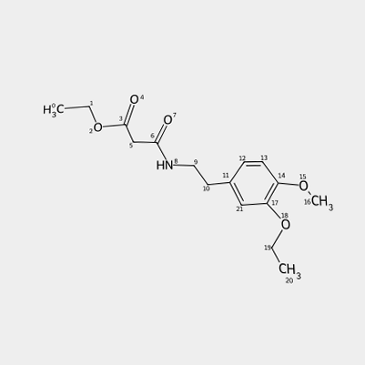 CCOC(=O)CC(=O)NCCc1ccc(OC)c(OCC)c1